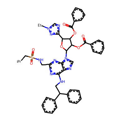 CCn1cnc(C2OC(n3cnc4c(NCC(c5ccccc5)c5ccccc5)nc(CNS(=O)(=O)CC(C)C)nc43)C(OC(=O)c3ccccc3)C2OC(=O)c2ccccc2)n1